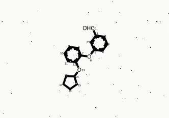 O=Cc1cccc(Oc2ccccc2OC2CCCC2)c1